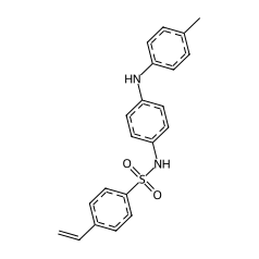 C=Cc1ccc(S(=O)(=O)Nc2ccc(Nc3ccc(C)cc3)cc2)cc1